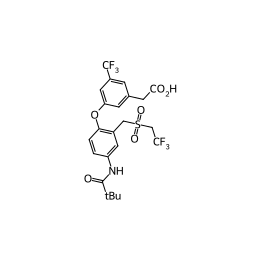 CC(C)(C)C(=O)Nc1ccc(Oc2cc(CC(=O)O)cc(C(F)(F)F)c2)c(CS(=O)(=O)CC(F)(F)F)c1